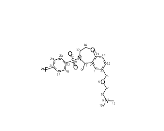 CC1c2cc(COCCN(C)C)ccc2OCCN1S(=O)(=O)c1ccc(F)cc1